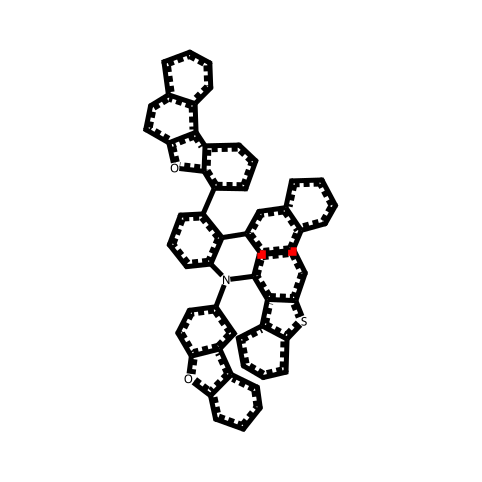 c1cc(-c2cccc3c2oc2ccc4ccccc4c23)c(-c2ccc3ccccc3c2)c(N(c2ccc3oc4ccccc4c3c2)c2cccc3sc4ccccc4c23)c1